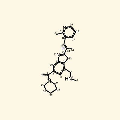 C=C(c1cc(CNC)c2c(c1)N=C(/C(C)=C/c1cccnc1C)C2)N1CCCCC1